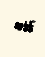 Fc1c[c-]c(-c2ccccn2)c(F)c1.Fc1c[c-]c(-c2ccccn2)c(F)c1.[Ir+3].c1cnn([B-](n2cccn2)(n2cccn2)n2cccn2)c1